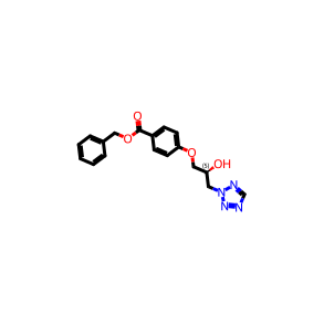 O=C(OCc1ccccc1)c1ccc(OC[C@@H](O)Cn2ncnn2)cc1